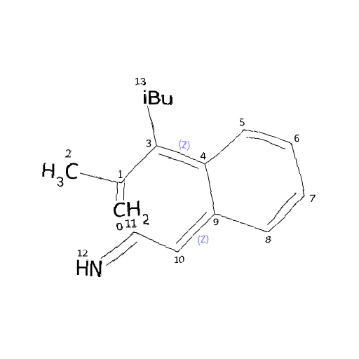 C=C(C)/C(=c1/cccc/c1=C/C=N)C(C)CC